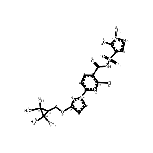 Cc1c(S(=O)(=O)NC(=O)c2ccc(-n3ccc(OCC4C(C)(C)C4(C)C)n3)nc2Cl)cnn1C